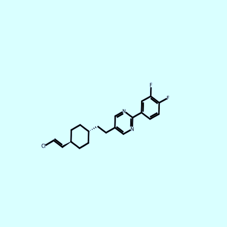 Fc1ccc(-c2ncc(CC[C@H]3CC[C@H](/C=C/Cl)CC3)cn2)cc1F